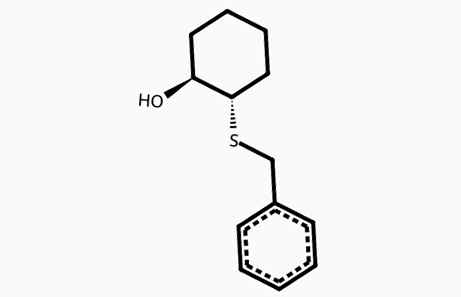 O[C@H]1CCCC[C@@H]1SCc1ccccc1